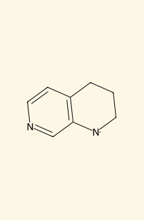 c1cc2c(cn1)[N]CCC2